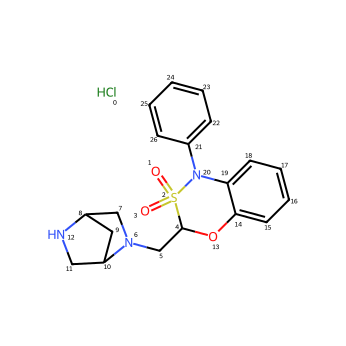 Cl.O=S1(=O)C(CN2CC3CC2CN3)Oc2ccccc2N1c1ccccc1